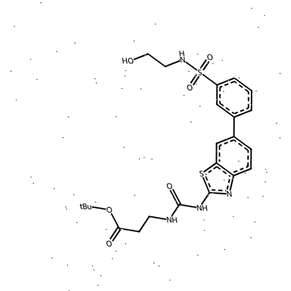 CC(C)(C)OC(=O)CCNC(=O)Nc1nc2ccc(-c3cccc(S(=O)(=O)NCCO)c3)cc2s1